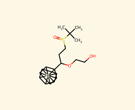 CC(C)(C)S(=O)CCC(OCCO)[C]12[CH]3[CH]4[CH]5[CH]1[Fe]45321678[CH]2[CH]1[CH]6[CH]7[CH]28